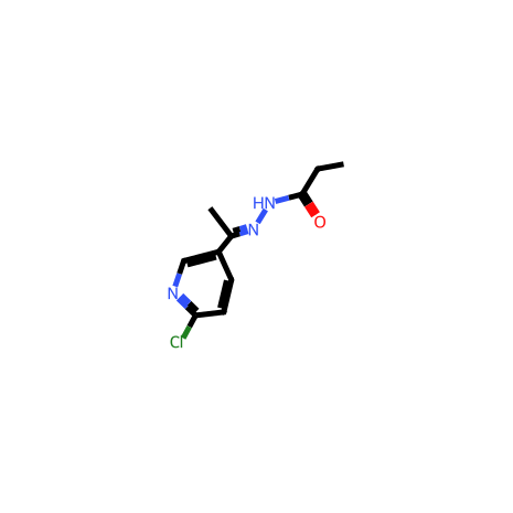 CCC(=O)N/N=C(\C)c1ccc(Cl)nc1